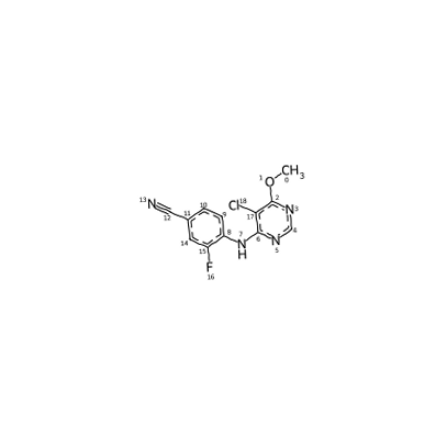 COc1ncnc(Nc2ccc(C#N)cc2F)c1Cl